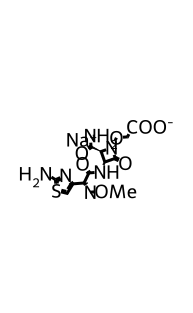 CO/N=C(\C(=O)N[C@@H]1C(=O)N(OCC(=O)[O-])[C@@H]1C(N)=O)c1csc(N)n1.[Na+]